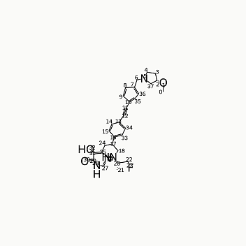 CO[C@H]1CCN(Cc2ccc(C#Cc3ccc(C(CN[C@@H](C)CF)Cc4nc[nH]c(=O)c4O)cc3)cc2)C1